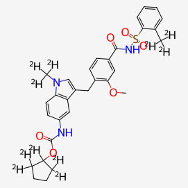 [2H]C([2H])([2H])c1ccccc1S(=O)(=O)NC(=O)c1ccc(Cc2cn(C([2H])([2H])[2H])c3ccc(NC(=O)OC4([2H])C([2H])([2H])CCC4([2H])[2H])cc23)c(OC)c1